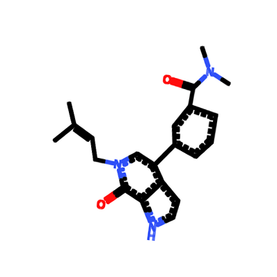 CC(C)=CCn1cc(-c2cccc(C(=O)N(C)C)c2)c2cc[nH]c2c1=O